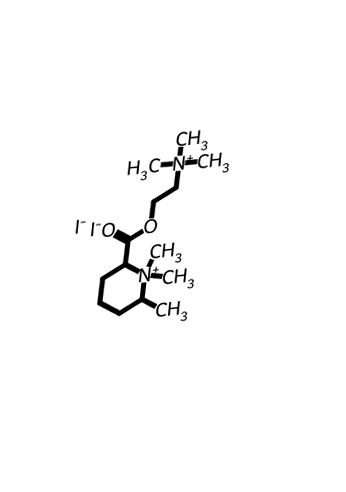 CC1CCCC(C(=O)OCC[N+](C)(C)C)[N+]1(C)C.[I-].[I-]